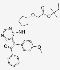 CCC(C)(C)OC(=O)CO[C@H]1CC[C@@H](Nc2ncnc3oc(-c4ccccc4)c(-c4ccc(OC)cc4)c23)C1